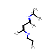 CCCN/C(C)=C\C(C)=N\C(C)C